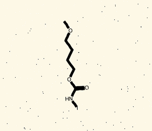 COCCCCOC(=O)NI